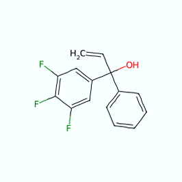 C=CC(O)(c1ccccc1)c1cc(F)c(F)c(F)c1